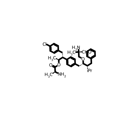 CC(C)[C@@H](Cc1ccccc1)[C@H](Cc1ccc([C@@H](Cc2ccc(Cl)cc2)[C@H](C)OC(=O)[C@H](C)N)cc1)OC[C@](C)(N)C=O